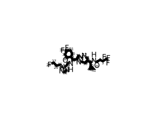 O=C(CCC(F)(F)F)NC(c1cnn2cc([C@@H](NC(=O)c3ncnn3CCCF)C3CCC(F)(F)CC3)nc2c1)C1CC1